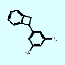 FC(F)(F)c1cc(C2Cc3ccccc32)cc(C(F)(F)F)c1